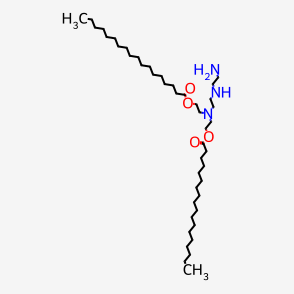 CCCCCCCCCCCCCCCCCC(=O)OCCN(CCNCCN)CCOC(=O)CCCCCCCCCCCCCCCCC